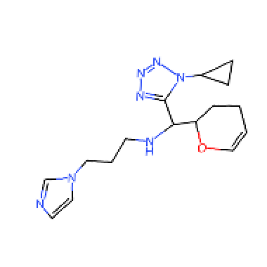 C1=COC(C(NCCCn2ccnc2)c2nnnn2C2CC2)CC1